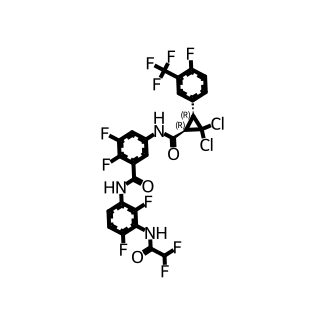 O=C(Nc1ccc(F)c(NC(=O)C(F)F)c1F)c1cc(NC(=O)[C@H]2[C@H](c3ccc(F)c(C(F)(F)F)c3)C2(Cl)Cl)cc(F)c1F